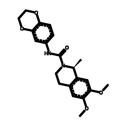 COc1cc2c(cc1OC)[C@@H](C)N(C(=O)Nc1ccc3c(c1)OCCO3)CC2